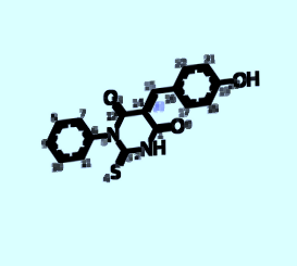 O=C1NC(=S)N(c2ccccc2)C(=O)/C1=C/c1ccc(O)cc1